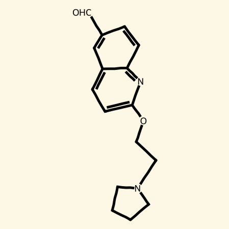 O=Cc1ccc2nc(OCCN3CCCC3)ccc2c1